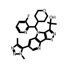 Cc1nnn(C)c1-c1cnc2c3snc(C(C)(C)O)c3n(C(c3ncccc3F)C3CCOCC3)c2c1